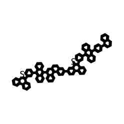 c1ccc2c(-c3ccc(-c4c5ccccc5c(-c5ccc6sc7c8cc(-c9ccc%10c(ccc%11cc(-c%12c%13ccccc%13c(-c%13ccc%14sc%15c%16ccccc%16c%16ccccc%16c%15c%14c%13)c%13ccccc%12%13)c%12ccccc%12c%11%10)c9)ccc8c8ccccc8c7c6c5)c5ccccc45)cc3)cccc2c1